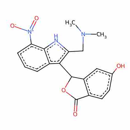 CN(C)Cc1[nH]c2c([N+](=O)[O-])cccc2c1C1OC(=O)c2ccc(O)cc21